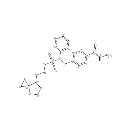 NNC(=O)c1ccc(CN(c2ccccc2)S(=O)(=O)CCCN2CCCC23CC3)cc1